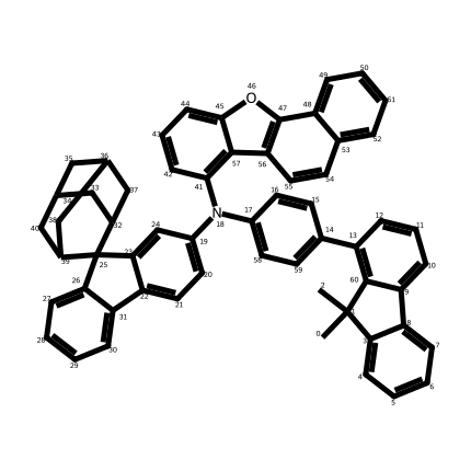 CC1(C)c2ccccc2-c2cccc(-c3ccc(N(c4ccc5c(c4)C4(c6ccccc6-5)C5CC6CC(C5)CC4C6)c4cccc5oc6c7ccccc7ccc6c45)cc3)c21